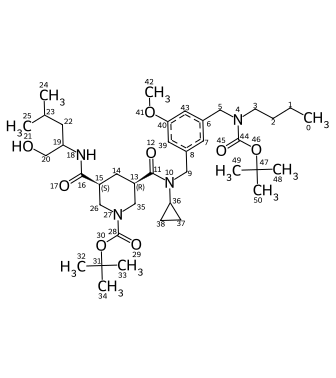 CCCCN(Cc1cc(CN(C(=O)[C@@H]2C[C@H](C(=O)NC(CO)CC(C)C)CN(C(=O)OC(C)(C)C)C2)C2CC2)cc(OC)c1)C(=O)OC(C)(C)C